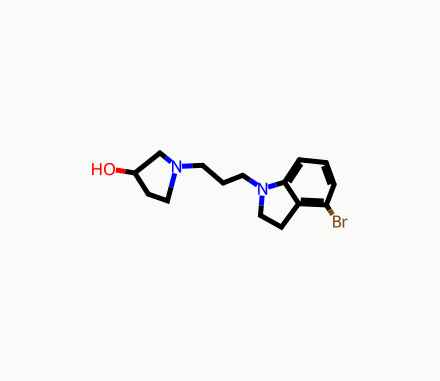 OC1CCN(CCCN2CCc3c(Br)cccc32)C1